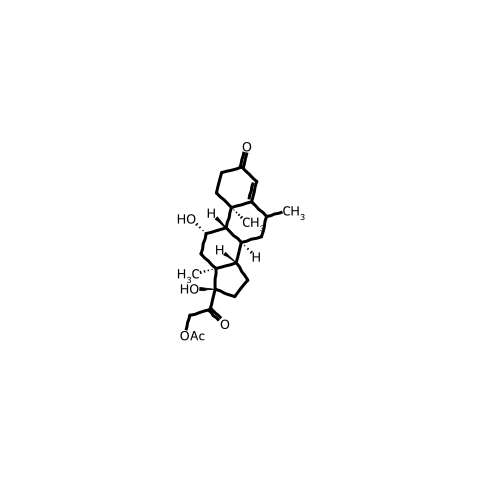 CC(=O)OCC(=O)[C@@]1(O)CC[C@H]2[C@@H]3CC(C)C4=CC(=O)CC[C@]4(C)[C@H]3[C@@H](O)C[C@@]21C